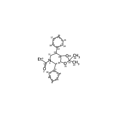 CCC(=O)N(Cc1ccccc1)CC(c1ccccc1)C1COC(C)(C)O1